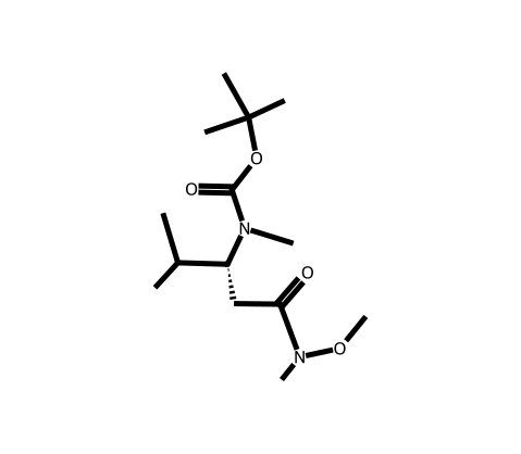 CON(C)C(=O)C[C@H](C(C)C)N(C)C(=O)OC(C)(C)C